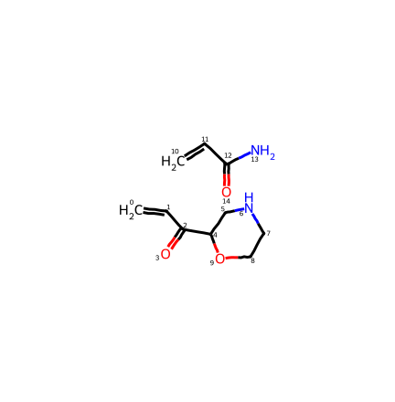 C=CC(=O)C1CNCCO1.C=CC(N)=O